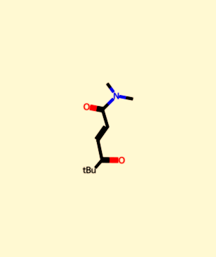 CN(C)C(=O)/C=C/C(=O)C(C)(C)C